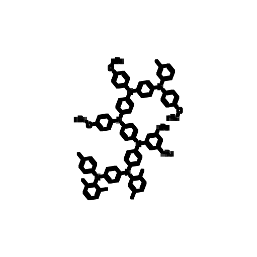 CCCCOc1ccc(N(c2ccc(N(c3ccc(OCCCC)cc3)c3ccc(N(c4ccc(N(c5ccc(N(c6ccc(C)cc6)c6c(C)cccc6C)cc5)c5cc(C)ccc5C)cc4)c4cc(CCCC)cc(CCCC)c4)cc3)cc2)c2ccc(N(c3ccc(OCCCC)cc3)c3cccc(C)c3)cc2)cc1